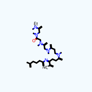 C=C(C)CCCC(=C)/N=C(/CCC(=C)N(C)CCC(=C)N(C)CC(=C)N(C)CC(=O)N(C)CC(=C)N(C)CC)C(=C)C#N